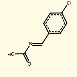 O=C(O)N=Cc1ccc(Cl)cc1